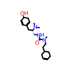 CN(CCC1CC=CCC1)C(=O)NC[C@H](CC1=CCC(O)C=C1)N(C)C